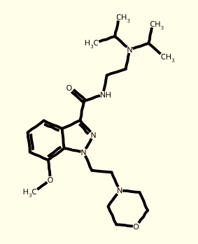 COc1cccc2c(C(=O)NCCN(C(C)C)C(C)C)nn(CCN3CCOCC3)c12